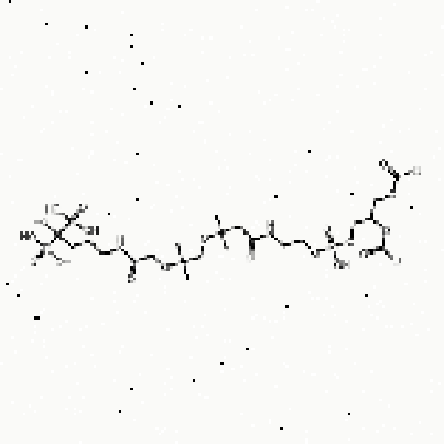 CCC(=O)OCC(COP(=O)(O)OCCNC(=O)CC(C)(C)OCC(C)(C)OCC(=O)NCCCC(O)(P(=O)(O)O)P(=O)(O)O)OC(=O)CC